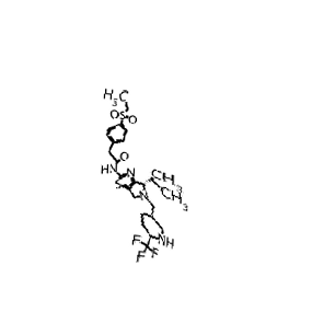 CCS(=O)(=O)c1ccc(CC(=O)Nc2nc3c(s2)CN(C[C@@H]2CC[C@H](C(F)(F)F)NC2)[C@H]3C(C)C)cc1